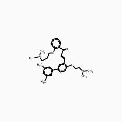 Cc1cc(C)cc(-c2ccc(OCCN(C)C)c(C=CC(=O)c3ccccc3OCCCN(C)C)c2)c1